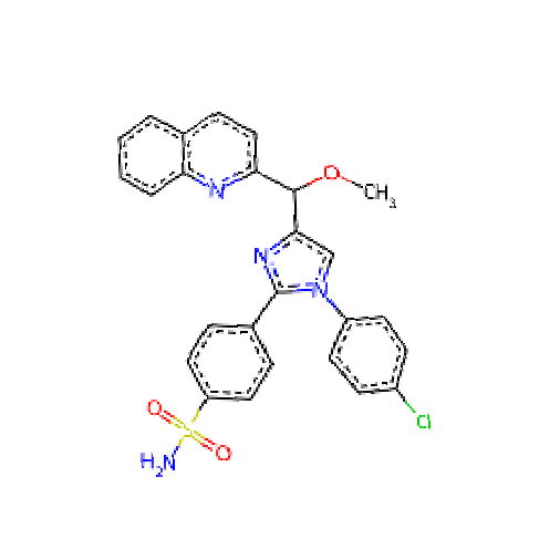 COC(c1cn(-c2ccc(Cl)cc2)c(-c2ccc(S(N)(=O)=O)cc2)n1)c1ccc2ccccc2n1